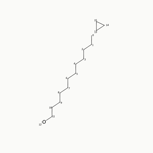 CCCCCCCCCCCC[O].[CH]1CC1